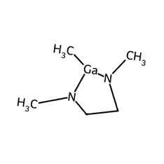 C[N]1CC[N](C)[Ga]1[CH3]